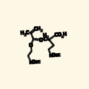 C=C(C)C(=O)OCCCCCCCCCCCC.C=C(CCCCCCCCCCCC)C(=O)O